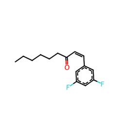 CCCCCCC(=O)/C=C\c1cc(F)cc(F)c1